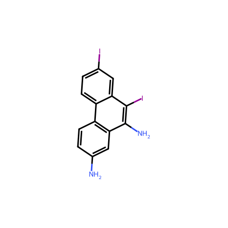 Nc1ccc2c(c1)c(N)c(I)c1cc(I)ccc12